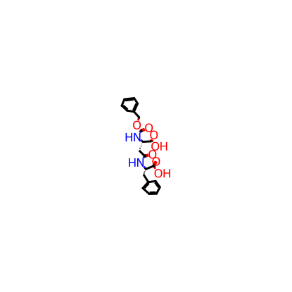 O=C(C[C@H](NC(=O)OCc1ccccc1)C(=O)O)N[C@@H](Cc1ccccc1)C(=O)O